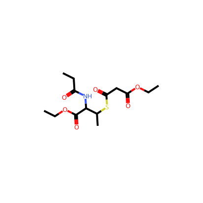 CCOC(=O)CC(=O)SC(C)C(NC(=O)CC)C(=O)OCC